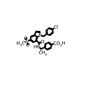 C[C@H](NC(=O)c1cc(S(C)(=O)=O)cc2ccn(Cc3ccc(Cl)cc3)c12)c1ccc(C(=O)O)cc1